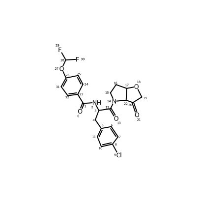 O=C(NC(Cc1ccc(Cl)cc1)C(=O)N1CCC2OCC(=O)C21)c1ccc(OC(F)F)cc1